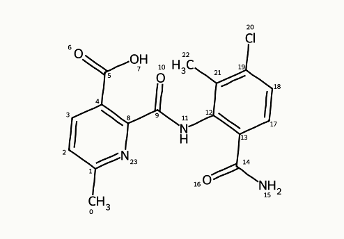 Cc1ccc(C(=O)O)c(C(=O)Nc2c(C(N)=O)ccc(Cl)c2C)n1